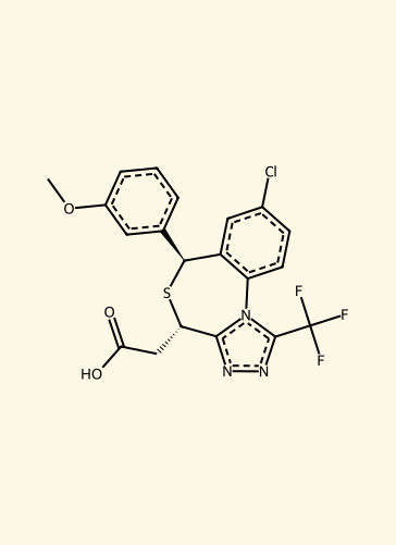 COc1cccc([C@@H]2S[C@@H](CC(=O)O)c3nnc(C(F)(F)F)n3-c3ccc(Cl)cc32)c1